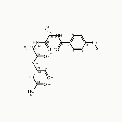 COc1ccc(C(=O)N[C@@H](C)C(=O)N[C@@H](C)C(=O)N[C@H](C=O)CC(=O)O)cc1